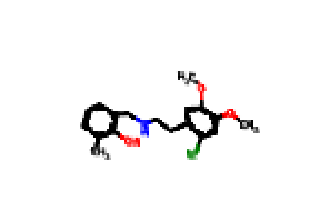 COc1cc(Br)c(CCNCc2cccc(C)c2O)cc1OC